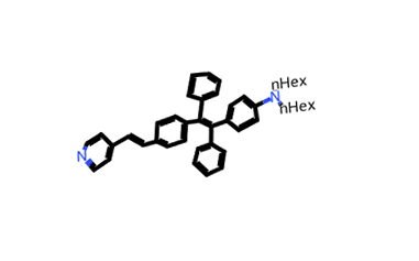 CCCCCCN(CCCCCC)c1ccc(/C(=C(\c2ccccc2)c2ccc(/C=C/c3ccncc3)cc2)c2ccccc2)cc1